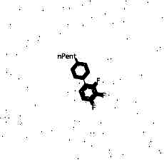 CCCCC[C@H]1CC[C@H](c2ccc(F)c(F)c2F)CC1